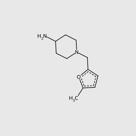 Cc1ccc(CN2CCC(N)CC2)o1